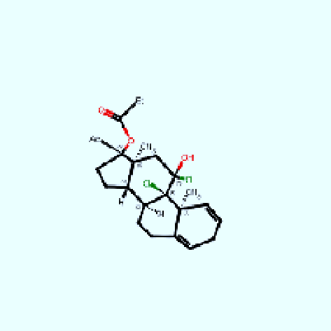 CCC(=O)O[C@@]1(C(C)=O)CC[C@H]2[C@@H]3CCC4=CCC=C[C@]4(C)[C@@]3(Cl)[C@@](O)(Cl)C[C@@]21C